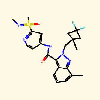 CN=S(C)(=O)c1cc(NC(=O)c2c3cccc(C)c3nn2CC2(C)CC(F)(F)C2)ccn1